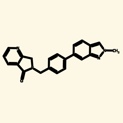 Cn1cc2ccc(-c3ccc(CN4Cc5ncccc5C4=O)cc3)cc2n1